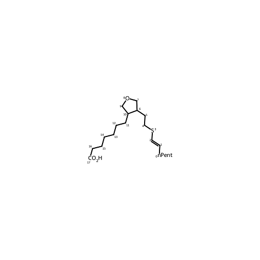 CCCCCC=CSCCC1COCC1CCCCCCC(=O)O